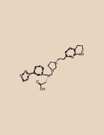 O=C(O)C[C@@H](CN1CC[C@@H](CCc2ccc3c(n2)NCCC3)C1)c1cccc(-n2ccnn2)c1